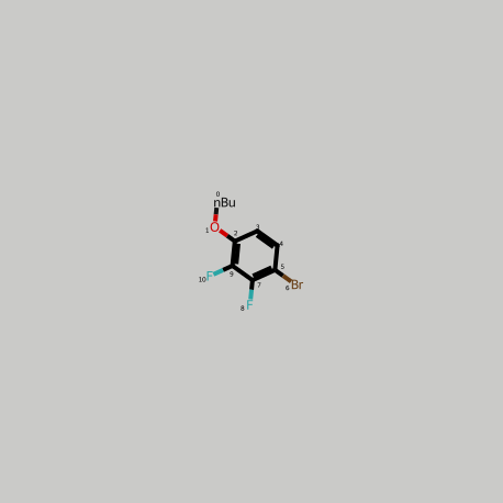 CCCCOc1ccc(Br)c(F)c1F